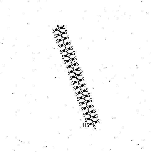 S=S(=S)(S)S(=S)(=S)S(=S)(=S)S(=S)(=S)S(=S)(=S)S(=S)(=S)S(=S)(=S)S(=S)(=S)S(=S)(=S)S(=S)(=S)S(=S)(=S)S(=S)(=S)S(=S)(=S)S(=S)(=S)S(=S)(=S)S(=S)(=S)S(=S)(=S)S(=S)(=S)S(=S)(=S)I